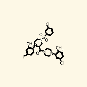 Cc1ccc(Cl)cc1N1CCN(C(=O)C2CN(S(=O)(=O)c3cccc(Cl)c3)CCN2c2ccc(F)cc2C)CC1